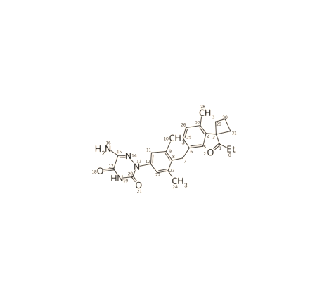 CCC(=O)C1(c2cc(Cc3c(C)cc(-n4nc(N)c(=O)[nH]c4=O)cc3C)ccc2C)CCC1